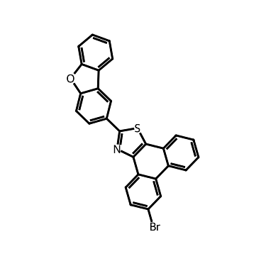 Brc1ccc2c(c1)c1ccccc1c1sc(-c3ccc4oc5ccccc5c4c3)nc21